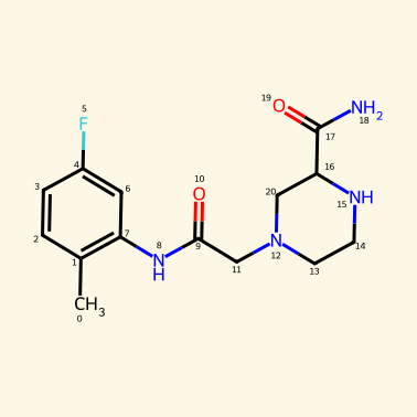 Cc1ccc(F)cc1NC(=O)CN1CCNC(C(N)=O)C1